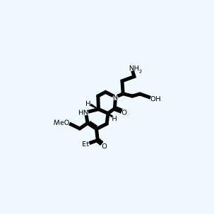 CCC(=O)C1=C(COC)N[C@@H]2CCN(C(CCN)CCO)C(=O)[C@@H]2C1